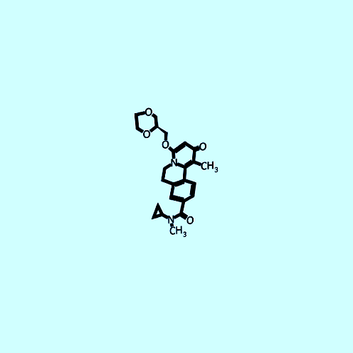 Cc1c2n(c(OC[C@@H]3COCCO3)cc1=O)CCc1cc(C(=O)N(C)C3CC3)ccc1-2